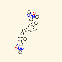 Cn1c(=O)n2c3ccccc3nc2c2ccc(-c3c4ccccc4c(-c4ccc5c(c4)-c4cc(-c6ccc7cccc(-c8c9ccccc9c(-c9ccc%10c(c9)n(-c9ccccc9)c(=O)n9c%11ccccc%11nc%109)c9ccccc89)c7c6)ccc4C5(C)C)c4ccccc34)cc21